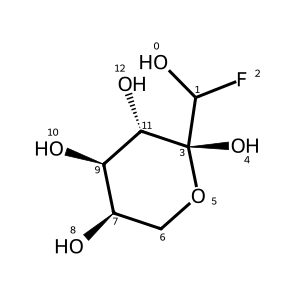 OC(F)[C@]1(O)OC[C@@H](O)[C@@H](O)[C@@H]1O